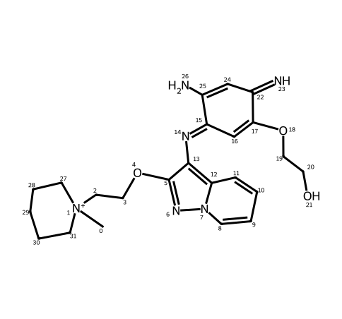 C[N+]1(CCOc2nn3ccccc3c2N=C2C=C(OCCO)C(=N)C=C2N)CCCCC1